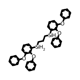 c1ccc(Oc2cccc([SiH2]CCC[SiH2]c3cccc(Oc4ccccc4)c3Oc3ccccc3)c2Oc2ccccc2)cc1